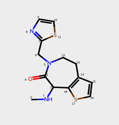 CNC1C(=O)N(Cc2nccs2)CCc2ccsc21